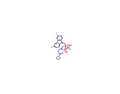 CC(O)(CN1CCN(C2CCC2)CS1(=O)=O)Cn1c2ccc(F)cc2c2cc(F)ccc21